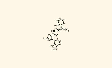 Cc1nc(-c2cccc3sccc23)c(C(=O)NC(Cc2ccccc2)OON)o1